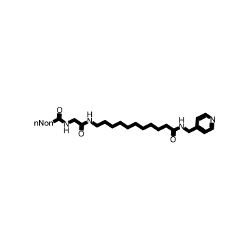 CCCCCCCCCC(=O)NCC(=O)NCCCCCCCCCCC(=O)NCc1ccncc1